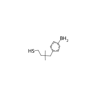 Bc1ccc(CC(C)(C)CCS)cc1